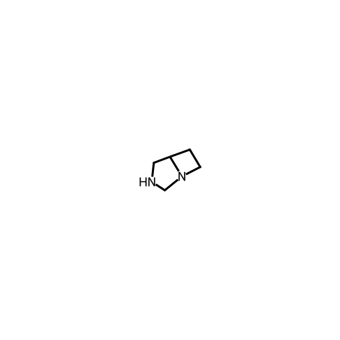 C1CN2CNCC12